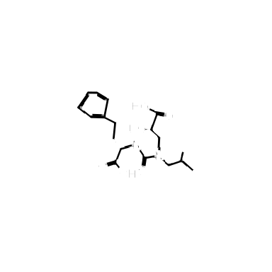 CC(C)CN(C[C@H](O)C(=O)O)C(=O)N[C@@H](CCc1ccccc1)C(=O)O